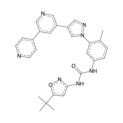 Cc1ccc(NC(=O)Nc2cc(C(C)(C)C)on2)cc1-n1cc(-c2cncc(-c3ccncc3)c2)cn1